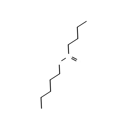 CCCCC[O][Sn](=[O])[CH2]CCC